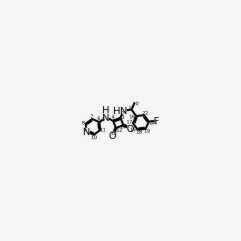 CC(Nc1c(Nc2ccncc2)c(=O)c1=O)c1cccc(F)c1